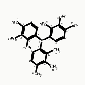 CCCc1ccc(P(c2ccc(C)c(C)c2C)c2ccc(CCC)c(CCC)c2CCC)c(CCC)c1CCC